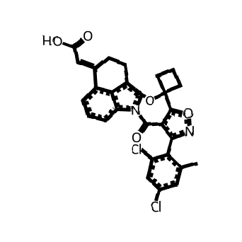 COC1(c2onc(-c3c(C)cc(Cl)cc3Cl)c2C(=O)n2cc3c4c(cccc42)/C(=C/C(=O)O)CC3)CCC1